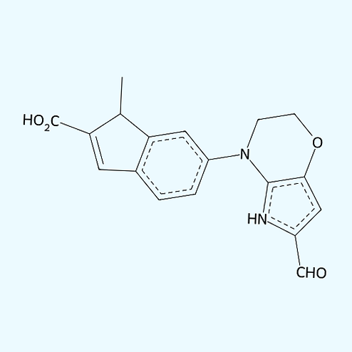 CC1C(C(=O)O)=Cc2ccc(N3CCOc4cc(C=O)[nH]c43)cc21